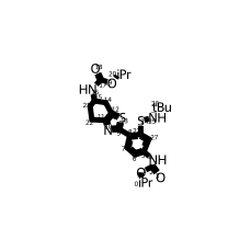 CC(C)OC(=O)Nc1ccc(-c2nc3c(s2)CC(NC(=O)OC(C)C)CC3)c(SNC(C)(C)C)c1